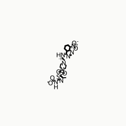 COC(=O)Nc1nc(C)c(S(=O)(=O)N2CCN(C[C@H](C)Nc3ncnc4c([N+](=O)[O-])cccc34)CC2)s1